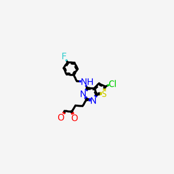 O=CC(=O)CCc1nc(NCc2ccc(F)cc2)c2cc(Cl)sc2n1